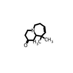 CC1(C)C=CCCN2CCC(=O)CC21